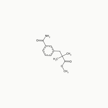 COC(=O)C(C)(C)[CH]c1cccc(C(N)=O)c1